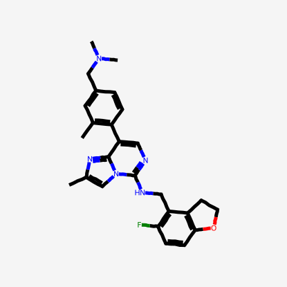 Cc1cn2c(NCc3c(F)ccc4c3CCO4)ncc(-c3ccc(CN(C)C)cc3C)c2n1